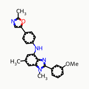 COc1cccc(-c2nc3c(Nc4ccc(-c5cnc(C)o5)cc4)cc(C)cc3n2C)c1